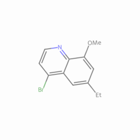 CCc1cc(OC)c2nccc(Br)c2c1